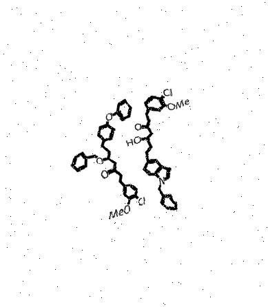 COc1cc(CCC(=O)CC(CCc2ccc(Oc3ccccc3)cc2)OCc2ccccc2)ccc1Cl.COc1cc(CCC(=O)CC(O)CCc2ccc3c(ccn3Cc3ccccc3)c2)ccc1Cl